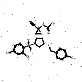 N#CC1(NC(=O)O)CC1.O=S(=O)(c1ccc(Cl)cc1Cl)[C@H]1CC[C@H](OCc2ccc(Cl)cc2)C1